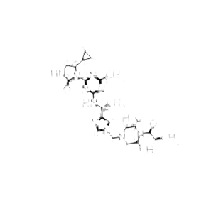 C=CC(=O)N1[C@H](C)CN(Cn2cnc([C@H](C)Nc3nc(C)nc(N4C(=O)NCC4C4CC4)n3)c2)C[C@@H]1C